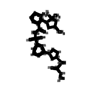 CC1CN(c2ncccc2C(=O)NS(=O)(=O)c2cccc(N3CC[C@@H](NC(=O)OC(C)(C)C)C3)n2)C(C)(C)C1